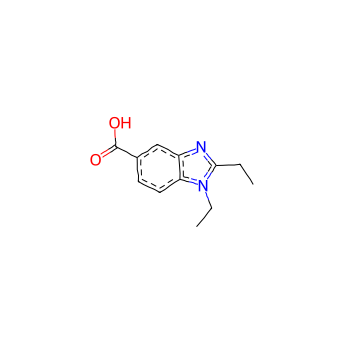 CCc1nc2cc(C(=O)O)ccc2n1CC